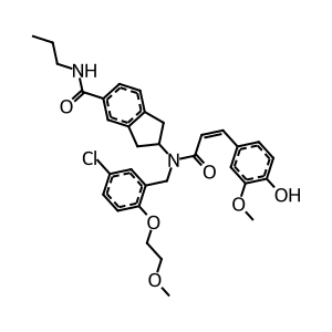 CCCNC(=O)c1ccc2c(c1)CC(N(Cc1cc(Cl)ccc1OCCOC)C(=O)/C=C\c1ccc(O)c(OC)c1)C2